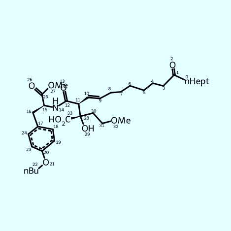 CCCCCCCC(=O)CCCCCCC=C[C@H](C(=O)N[C@@H](Cc1ccc(OCCCC)cc1)C(=O)OC)[C@@](O)(CCOC)C(=O)O